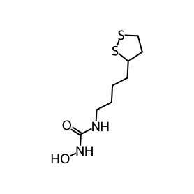 O=C(NO)NCCCCC1CCSS1